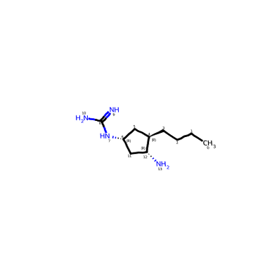 CCCC[C@@H]1C[C@@H](NC(=N)N)C[C@H]1N